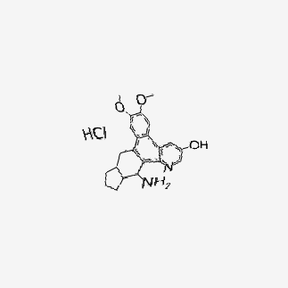 COc1cc2c3c(c4ncc(O)cc4c2cc1OC)C(N)C1CCCC1C3.Cl